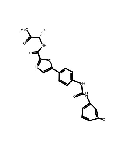 COC(=O)[C@@H](NC(=O)c1ncc(-c2ccc(NC(=O)Nc3cccc(Cl)c3)cc2)o1)C(C)C